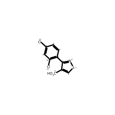 O=C(O)c1csnc1-c1ccc(Cl)cc1Cl